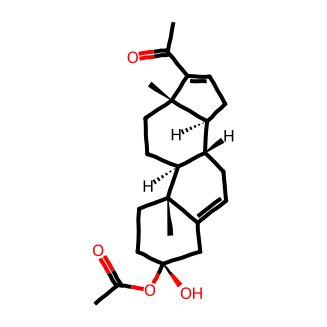 CC(=O)O[C@]1(O)CC[C@@]2(C)C(=CC[C@@H]3[C@@H]2CC[C@]2(C)C(C(C)=O)=CC[C@@H]32)C1